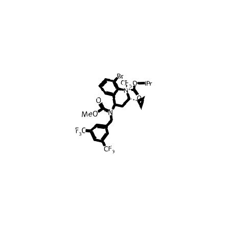 COC(=O)N(Cc1cc(C(F)(F)F)cc(C(F)(F)F)c1)C1C[C@@H](C2CC2)[N@@+](C(=O)OC(C)C)(C(F)(F)F)c2c(Br)cccc21